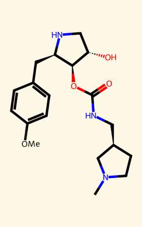 COc1ccc(C[C@H]2NC[C@H](O)[C@H]2OC(=O)NC[C@H]2CCN(C)C2)cc1